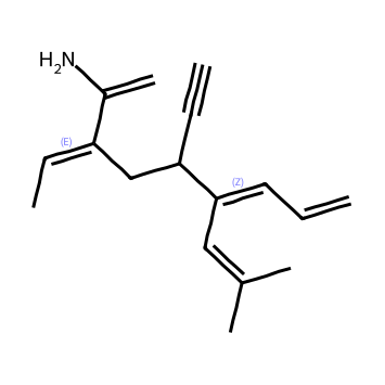 C#CC(C/C(=C\C)C(=C)N)/C(C=C(C)C)=C/C=C